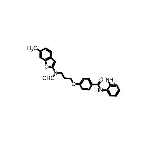 Cc1ccc2cc(N(C=O)CCCOc3ccc(C(=O)Nc4ccccc4N)cc3)oc2c1